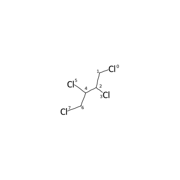 ClCC(Cl)C(Cl)CCl